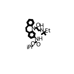 CCC(C)(C)NCC(=O)N1c2ccccc2CCc2ccc(NC(=O)OC(C)C)cc21